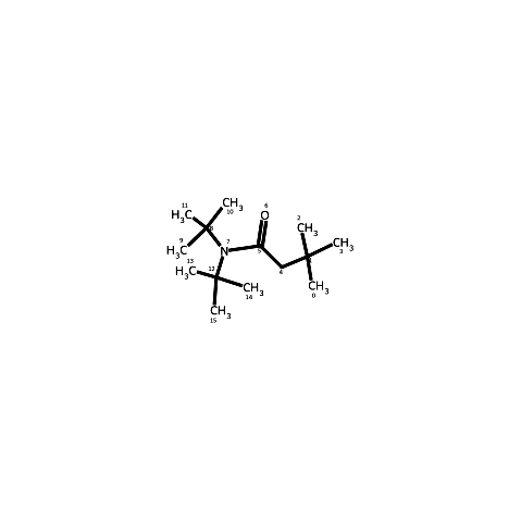 CC(C)(C)CC(=O)N(C(C)(C)C)C(C)(C)C